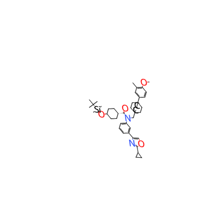 COc1ccc(C23CCC(CN(c4cccc(-c5coc(C6CC6)n5)c4)C(=O)[C@H]4CC[C@H](O[Si](C)(C)C(C)(C)C)CC4)(CC2)CC3)cc1C